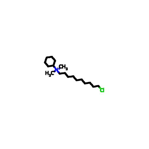 C[N+](C)(CCCCCCCCCCCl)C1CCCCC1